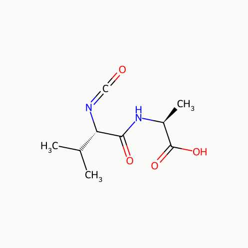 CC(C)[C@H](N=C=O)C(=O)N[C@@H](C)C(=O)O